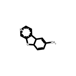 CC1=CC2c3ccncc3OC2C=C1